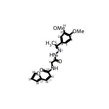 COc1ccc(/C(C)=N/NC(=O)CNC(=O)/C=C\c2ccco2)cc1OC